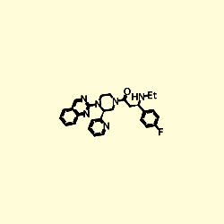 CCN[C@H](CC(=O)N1CCN(c2ncc3ccccc3n2)[C@H](c2ccccn2)C1)c1ccc(F)cc1